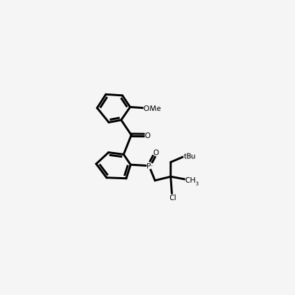 COc1ccccc1C(=O)c1ccccc1[P](=O)CC(C)(Cl)CC(C)(C)C